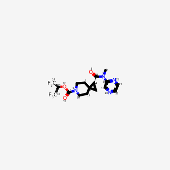 CN(C(=O)[C@@H]1CC12CCN(C(=O)OC(C(F)(F)F)C(F)(F)F)CC2)c1cnccn1